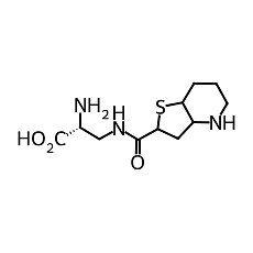 N[C@H](CNC(=O)C1CC2NCCCC2S1)C(=O)O